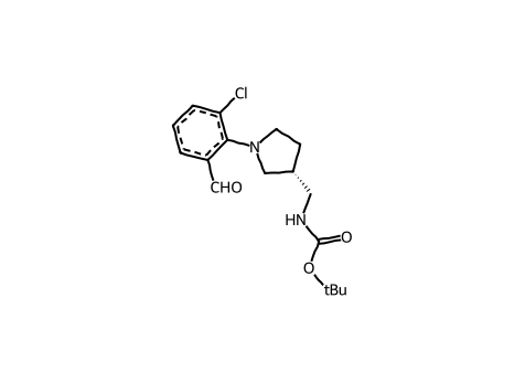 CC(C)(C)OC(=O)NC[C@H]1CCN(c2c(Cl)cccc2C=O)C1